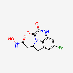 O=C(CC1Cc2cc(Br)cc3[nH]c(=O)c(=O)n1c23)NO